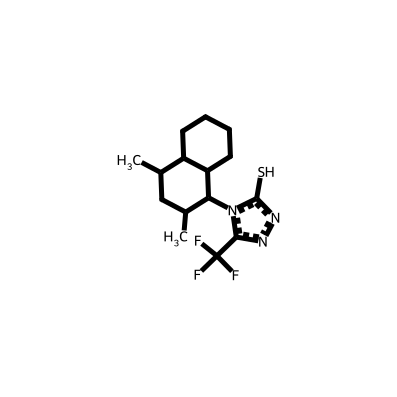 CC1CC(C)C(n2c(S)nnc2C(F)(F)F)C2CCCCC12